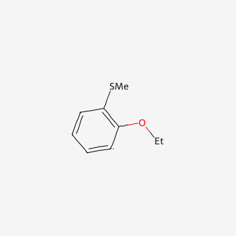 CCOc1[c]cccc1SC